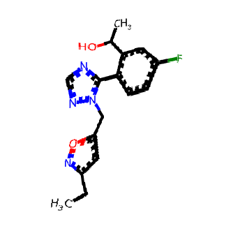 CCc1cc(Cn2ncnc2-c2ccc(F)cc2C(C)O)on1